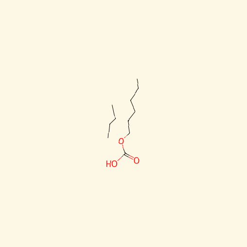 CCCC.CCCCCCOC(=O)O